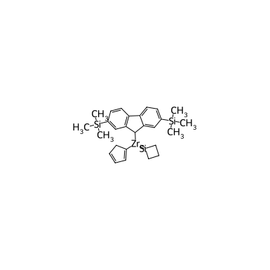 C[Si](C)(C)c1ccc2c(c1)[CH]([Zr]([C]1=CC=CC1)=[Si]1CCC1)c1cc([Si](C)(C)C)ccc1-2